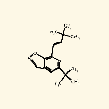 CC(C)(C)CCc1nc(C(C)(C)C)cc2cnoc12